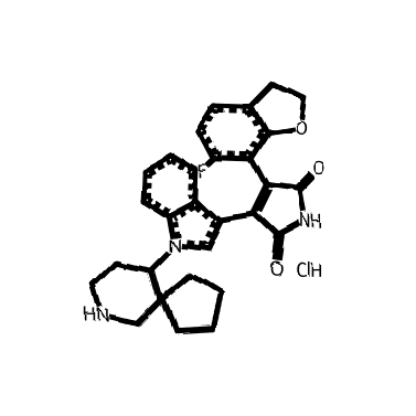 Cl.O=C1NC(=O)C(c2cn(C3CCNCC34CCCC4)c3ccccc23)=C1c1c(F)ccc2c1OCC2